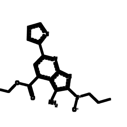 CCC[S+]([O-])c1sc2nc(-c3cccs3)cc(C(=O)OCC)c2c1N